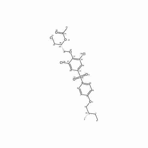 CC[C@H](C)COc1ccc(S(=O)(=O)c2cc(Cl)c(OC[C@H](CCl)OC(C)=O)c(Cl)c2)cc1